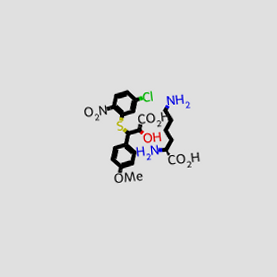 COc1ccc(C(Sc2cc(Cl)ccc2[N+](=O)[O-])C(O)C(=O)O)cc1.NCCCC[C@H](N)C(=O)O